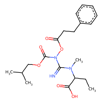 CCC(C(=O)O)N(C)C(=N)N(OC(=O)CCc1ccccc1)C(=O)OCC(C)C